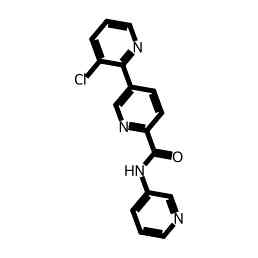 O=C(Nc1cccnc1)c1ccc(-c2ncccc2Cl)cn1